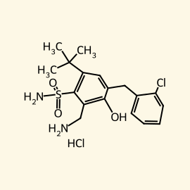 CC(C)(C)c1cc(Cc2ccccc2Cl)c(O)c(CN)c1S(N)(=O)=O.Cl